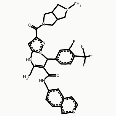 CC1=C(C(=O)Nc2ccc3cnccc3c2)C(c2ccc(C(F)(F)F)c(F)c2)n2nc(C(=O)N3CC4CN(C)CC4C3)cc2N1